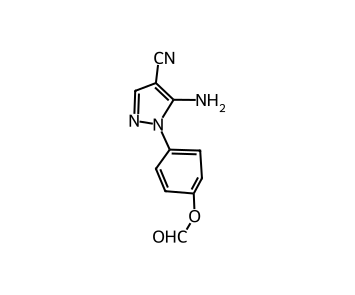 N#Cc1cnn(-c2ccc(OC=O)cc2)c1N